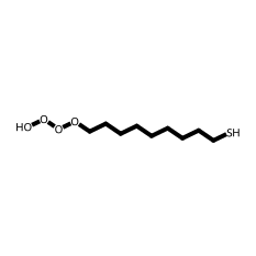 OOOOCCCCCCCCCS